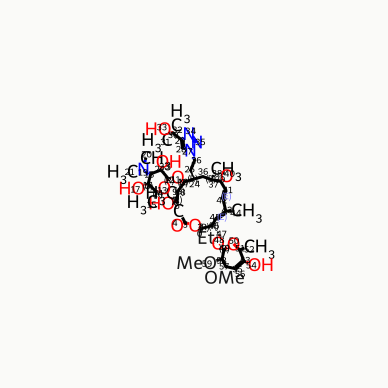 CC[C@H]1OC(=O)C[C@@H](O)[C@H](C)[C@@H](O[C@@H]2O[C@H](C)[C@@H](O)C(N(C)C)C2O)[C@@H](CCn2cc(C(C)(C)O)nn2)C[C@@H](C)C(=O)/C=C/C(C)=C/[C@@H]1CO[C@@H]1OC(C)C(O)=C(OC)CC1OC